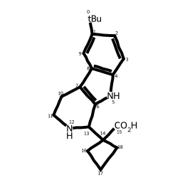 CC(C)(C)c1ccc2[nH]c3c(c2c1)CCNC3C1(C(=O)O)CCC1